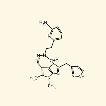 Cc1c(/C=N\N(C=O)CCc2cccc(N)n2)c2sc(Cc3cc[nH]n3)nc2n1C